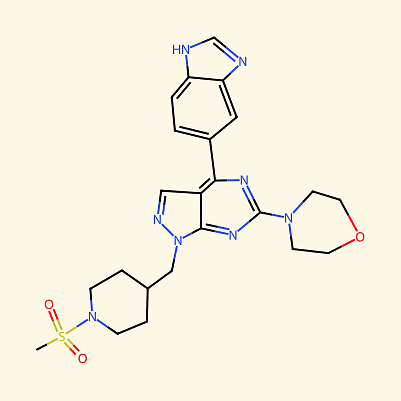 CS(=O)(=O)N1CCC(Cn2ncc3c(-c4ccc5[nH]cnc5c4)nc(N4CCOCC4)nc32)CC1